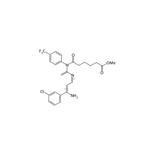 C=C(/N=C\C=C(/N)c1cccc(Cl)c1)N(C(=O)CCCCC(=O)OC)c1ccc(C(F)(F)F)cc1